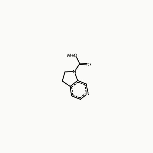 COC(=O)N1CCc2ccncc21